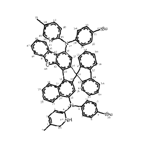 CC1=CC=C(N(c2ccc(C(C)(C)C)cc2)c2cc3c(c4ccccc24)-c2c(cc(N(c4ccc(C(C)(C)C)cc4)c4ccc(C)cn4)c4c2oc2ccccc24)C32c3ccccc3-c3ccccc32)NC1